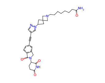 NC(=O)CCCCCCCN1CC2(CC(n3cc(C#Cc4ccc5c(c4)CN(C4CCC(=O)NC4=O)C5=O)cn3)C2)C1